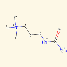 C[N+](C)(C)CCCNC(N)=O